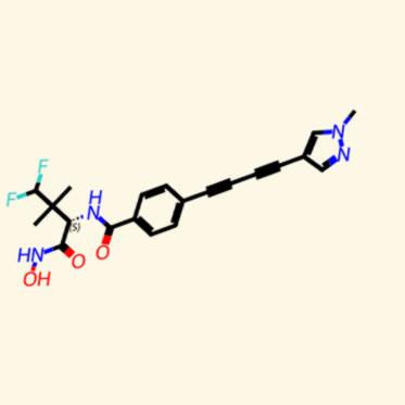 Cn1cc(C#CC#Cc2ccc(C(=O)N[C@H](C(=O)NO)C(C)(C)C(F)F)cc2)cn1